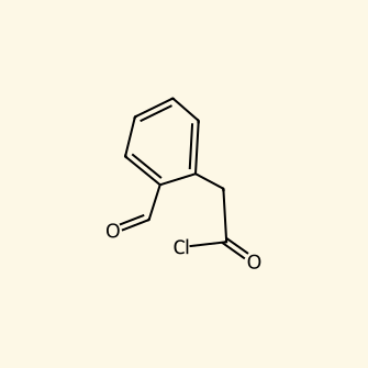 O=Cc1ccccc1CC(=O)Cl